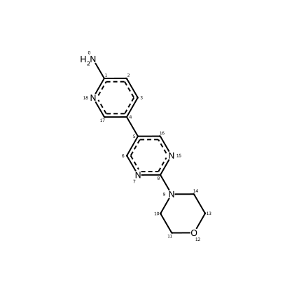 Nc1ccc(-c2cnc(N3CCOCC3)nc2)cn1